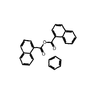 O=C(OC(=O)c1cccc2ccccc12)c1cccc2ccccc12.c1ccccc1